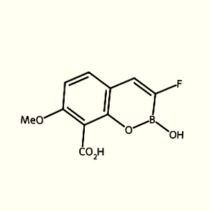 COc1ccc2c(c1C(=O)O)OB(O)C(F)=C2